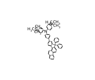 C[Si](C)(C)c1ccc(N(c2ccc(-c3ccc4c(c3)C(c3ccccc3)(c3ccccc3)c3ccc5c(ccc6ccccc65)c3-4)cc2)c2ccc([Si](C)(C)C)cc2)cc1